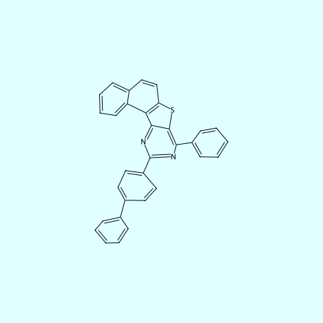 c1ccc(-c2ccc(-c3nc(-c4ccccc4)c4sc5ccc6ccccc6c5c4n3)cc2)cc1